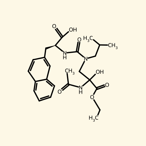 CCOC(=O)C(O)(CN(CC(C)C)C(=O)N[C@@H](Cc1ccc2ccccc2c1)C(=O)O)NC(C)=O